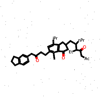 CCCC(CC1CC(=O)c2c(C)c(CCC(=O)Cc3ccc4c(c3)CCC4)cc(C(C)C)c2C1)C(CC)C(=O)CC(C)=O